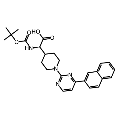 CC(C)(C)OC(=O)N[C@@H](C(=O)O)C1CCN(c2nccc(-c3ccc4ccccc4c3)n2)CC1